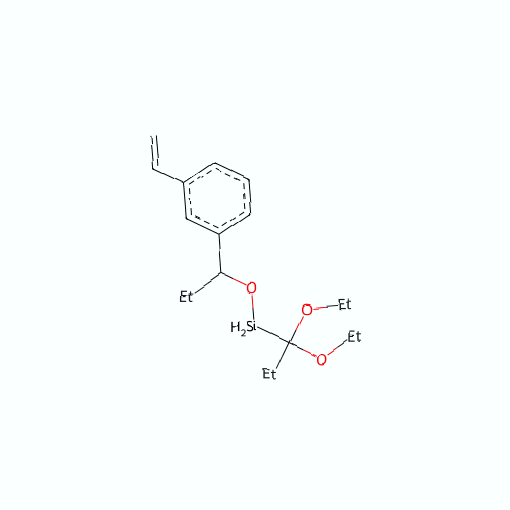 C=Cc1cccc(C(CC)O[SiH2]C(CC)(OCC)OCC)c1